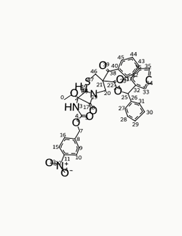 COC1(NC(=O)OCc2ccc([N+](=O)[O-])cc2)C(=O)N2CC(C(=O)OC(c3ccccc3)c3ccccc3)(C(=O)c3ccccc3)CS[C@@H]21